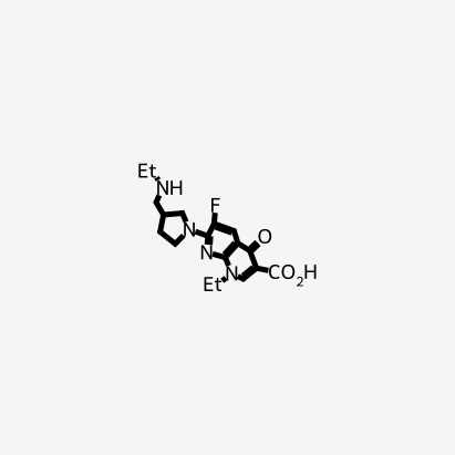 CCNCC1CCN(c2nc3c(cc2F)c(=O)c(C(=O)O)cn3CC)C1